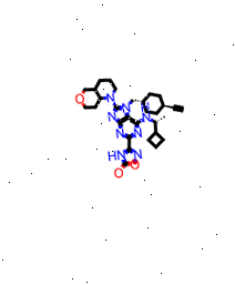 C#C[C@H]1CC[C@H](Cn2c(N3CCCC4COCCC43)nc3nc(-c4noc(=O)[nH]4)nc(N[C@H](C)C4CCC4)c32)CC1